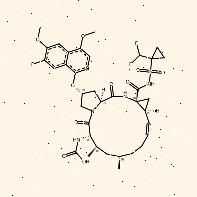 COc1cc2c(OC)cnc(O[C@@H]3C[C@H]4C(=O)N[C@]5(C(=O)NS(=O)(=O)C6(C(F)F)CC6)C[C@H]5/C=C\CC[C@@H](C)C[C@@H](C)[C@H](NC(=O)O)C(=O)N4C3)c2cc1F